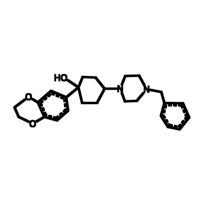 OC1(c2ccc3c(c2)OCCO3)CCC(N2CCN(Cc3ccccc3)CC2)CC1